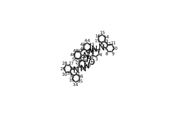 O=P(c1ccc(-n2c3ccccc3c3ccccc32)nn1)(c1ccc(-n2c3ccccc3c3ccccc32)nn1)n1c2ccccc2c2ccccc21